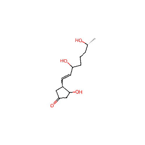 C[C@@H](O)CCCC(O)/C=C/[C@@H]1CC(=O)CC1O